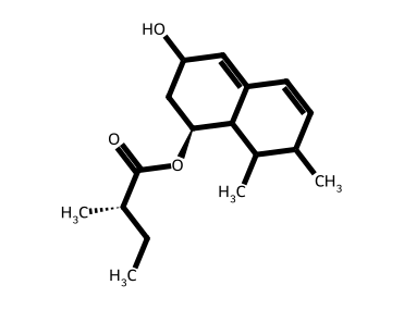 CC[C@H](C)C(=O)O[C@H]1CC(O)C=C2C=CC(C)C(C)C21